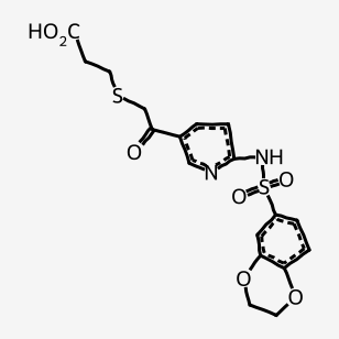 O=C(O)CCSCC(=O)c1ccc(NS(=O)(=O)c2ccc3c(c2)OCCO3)nc1